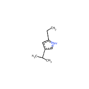 CCc1cc(C(C)C)c[nH]1